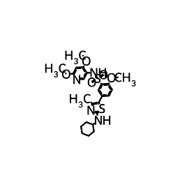 COc1cc(OC)c(NS(=O)(=O)c2cc(-c3sc(NC4CCCCC4)nc3C)ccc2OC)cn1